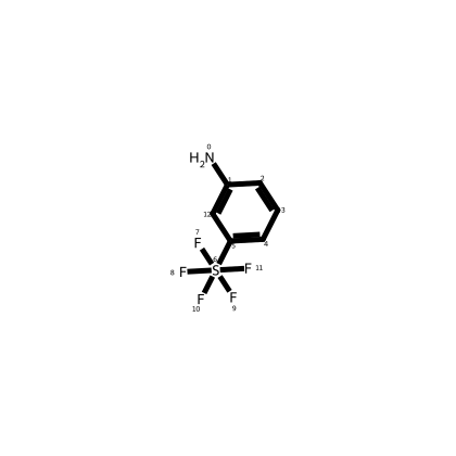 Nc1c[c]cc(S(F)(F)(F)(F)F)c1